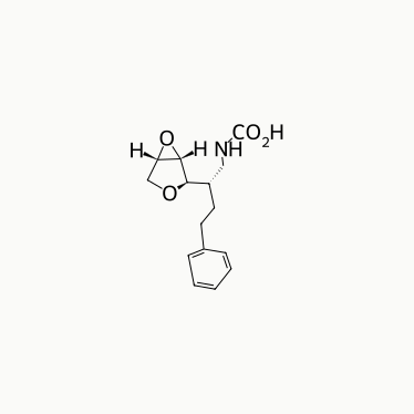 O=C(O)NC[C@H](CCc1ccccc1)[C@H]1OC[C@@H]2O[C@H]12